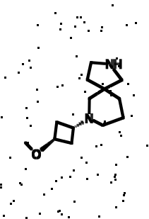 CO[C@H]1C[C@H](N2CCCC3(CCNC3)C2)C1